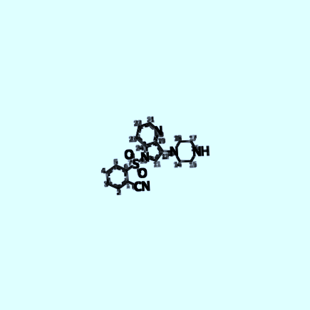 N#Cc1ccccc1S(=O)(=O)n1cc(N2CCNCC2)c2ncccc21